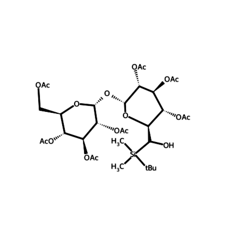 CC(=O)OC[C@H]1O[C@H](O[C@H]2O[C@H](C(O)[Si](C)(C)C(C)(C)C)[C@@H](OC(C)=O)[C@H](OC(C)=O)[C@H]2OC(C)=O)[C@H](OC(C)=O)[C@@H](OC(C)=O)[C@@H]1OC(C)=O